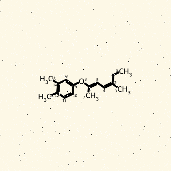 CC/C(C)=C\C=C(/C)Oc1ccc(C)c(C)c1